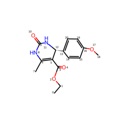 CCOC(=O)C1=C(C)NC(=O)N[C@@H]1c1ccc(OC)cc1